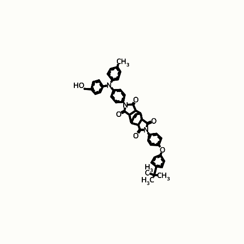 Cc1ccc(N(c2ccc(CO)cc2)c2ccc(N3C(=O)C4C5C=CC(C6C(=O)N(c7ccc(Oc8ccc(C(C)(C)C)cc8)cc7)C(=O)C56)C4C3=O)cc2)cc1